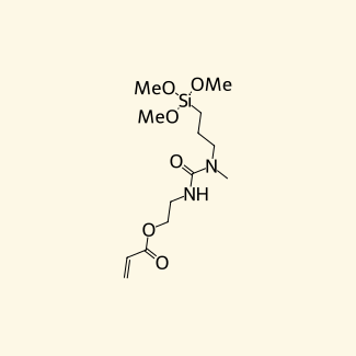 C=CC(=O)OCCNC(=O)N(C)CCC[Si](OC)(OC)OC